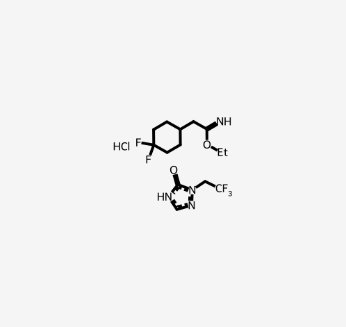 CCOC(=N)CC1CCC(F)(F)CC1.Cl.O=c1[nH]cnn1CC(F)(F)F